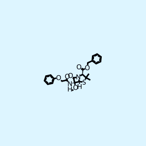 CO[C@@]1(NC(=O)COc2ccccc2)C(=O)N2[C@@H](C(=O)OCc3ccccc3)C(C)(C)S[C@@H]21